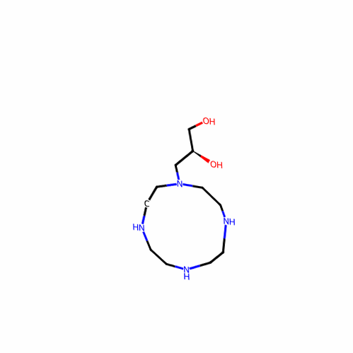 OC[C@@H](O)CN1CCNCCNCCNCC1